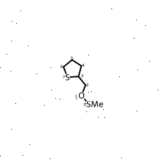 CSOCC1CCCS1